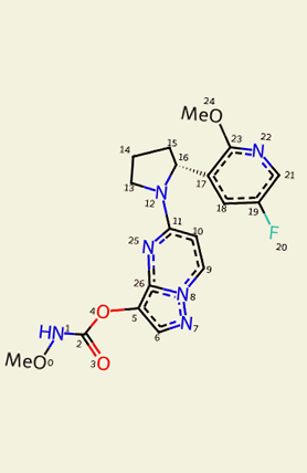 CONC(=O)Oc1cnn2ccc(N3CCC[C@@H]3c3cc(F)cnc3OC)nc12